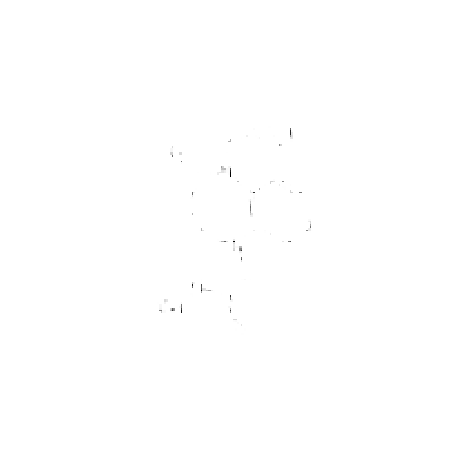 CC(C)(C)OC(=O)CN1CCC(=O)N(CC(=O)O)C2=C1CCC=C2